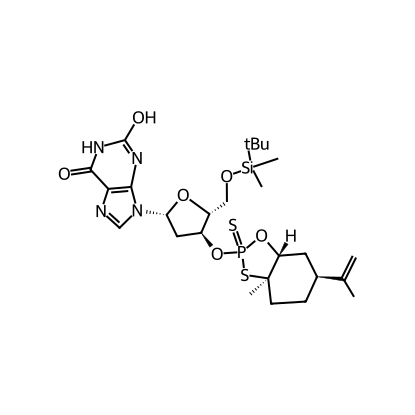 C=C(C)[C@H]1CC[C@@]2(C)SP(=S)(O[C@H]3C[C@H](n4cnc5c(=O)[nH]c(O)nc54)O[C@@H]3CO[Si](C)(C)C(C)(C)C)O[C@@H]2C1